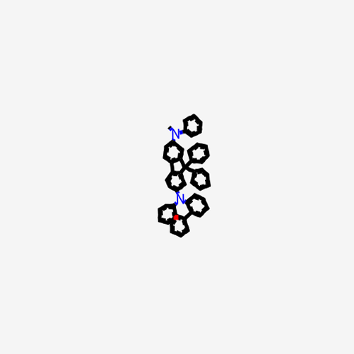 CN(c1ccccc1)c1ccc2c(c1)C(c1ccccc1)(c1ccccc1)c1cc(N(c3ccccc3)c3ccccc3-c3ccccc3)ccc1-2